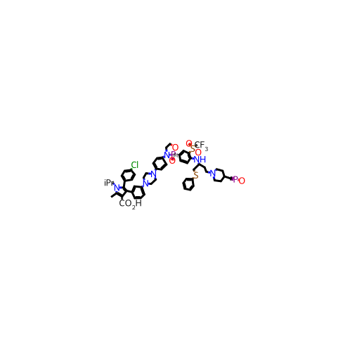 Cc1c(C(=O)O)c(-c2cccc(N3CCN(c4ccc(N5CCO[P@]5(=O)c5ccc(NC(CCN6CCC(C#P=O)CC6)CSc6ccccc6)c(S(=O)(=O)C(F)(F)F)c5)cc4)CC3)c2)c(-c2ccc(Cl)cc2)n1C(C)C